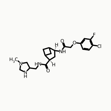 CN1CNC(CNC(=O)[C@@H]2C[C@H](NC(=O)COc3ccc(Cl)c(F)c3)C3CC2C3)C1